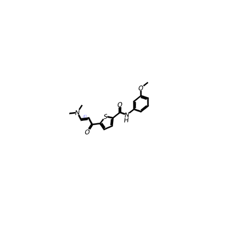 COc1cccc(NC(=O)c2ccc(C(=O)/C=C/N(C)C)s2)c1